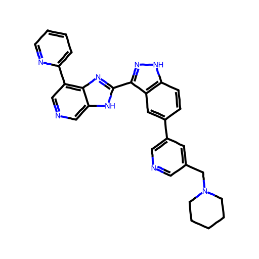 c1ccc(-c2cncc3[nH]c(-c4n[nH]c5ccc(-c6cncc(CN7CCCCC7)c6)cc45)nc23)nc1